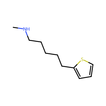 CNCCCCCc1cccs1